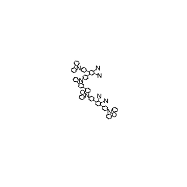 N#Cc1cc(-c2ccc(-n3c4ccccc4c4ccccc43)cc2)c(-c2ccc(-n3c4ccccc4c4ccc(-c5cccc6c5Oc5ccccc5N6c5ccc(-c6ccc(-c7ccc(N8c9ccccc9Oc9ccccc98)cc7)c(C#N)c6C#N)cc5)cc43)cc2)cc1C#N